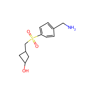 NCc1ccc(S(=O)(=O)CC2CC(O)C2)cc1